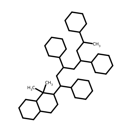 CC(CC(CC(CC(C1CCCCC1)C1CCC2CCCCC2C1(C)C)C1CCCCC1)C1CCCCC1)C1CCCCC1